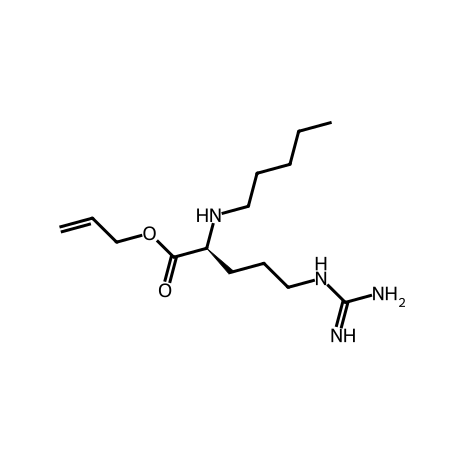 C=CCOC(=O)[C@H](CCCNC(=N)N)NCCCCC